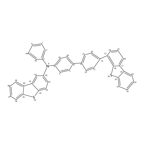 c1ccc(N(c2ccc(-c3ccc(-c4cccc5c4sc4ccccc45)cc3)cc2)c2ccc3sc4ccccc4c3c2)cc1